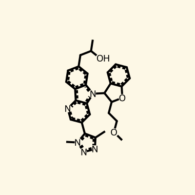 COCCC1Oc2ccccc2C1n1c2cc(CC(C)O)ccc2c2ncc(-c3c(C)nnn3C)cc21